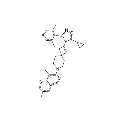 Cc1cnc2c(C)c(N3CCC4(C=C(c5c(-c6c(C)cccc6C)noc5C5CC5)C4)CC3)ccc2c1